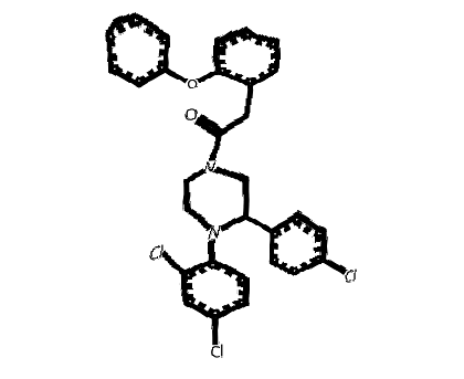 O=C(Cc1ccccc1Oc1ccccc1)N1CCN(c2ccc(Cl)cc2Cl)C(c2ccc(Cl)cc2)C1